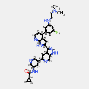 CN(C)CCNc1cc(F)cc(-c2ccnc3[nH]c(-c4n[nH]c5cnc(-c6cncc(NC(=O)C7CC7)c6)cc45)cc23)c1